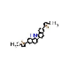 Cc1ccc(-c2ccc3c(ccc4c5ccc6cc(-c7ccc(C)s7)ccc6c5[nH]c34)c2)s1